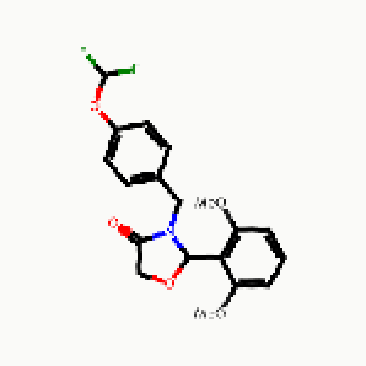 COc1cccc(OC)c1C1OCC(=O)N1Cc1ccc(OC(F)F)cc1